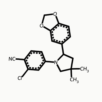 CC1(C)CC(c2ccc3c(c2)OCO3)N(c2ccc(C#N)c(Cl)c2)C1